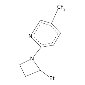 CCC1CCN1c1ccc(C(F)(F)F)cn1